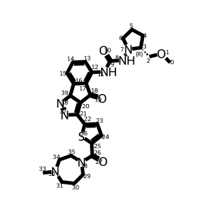 COC[C@H]1CCCN1NC(=O)Nc1cccc2c1C(=O)C1=C(c3ccc(C(=O)N4CCCN(C)CC4)s3)N=NC12